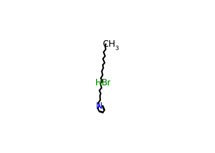 Br.CCCCCCCCCCCCCCCCCCCCN1C=CC=CC1